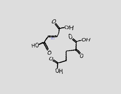 O=C(O)/C=C/C(=O)O.O=C(O)CCC(=O)C(=O)O